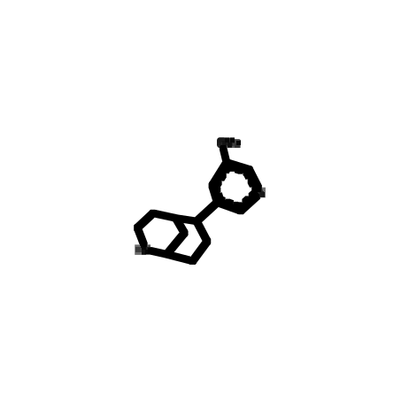 COc1cncc(C2CCC3CC2CCN3)c1